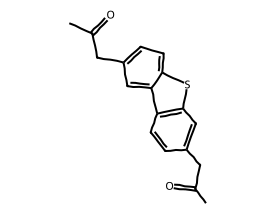 CC(=O)Cc1ccc2c(c1)sc1ccc(CC(C)=O)cc12